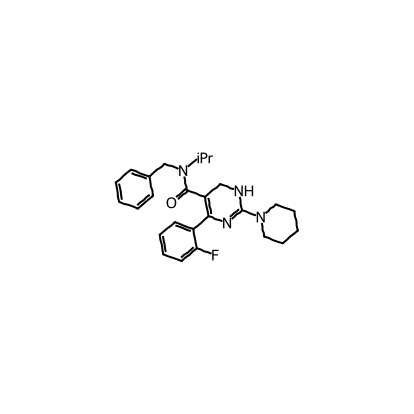 CC(C)N(Cc1ccccc1)C(=O)C1=C(c2ccccc2F)N=C(N2CCCCC2)NC1